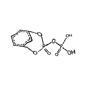 O=P(O)(O)OP1(=O)Oc2cccc(c2)O1